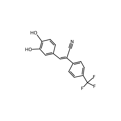 N#C/C(=C\c1ccc(O)c(O)c1)c1ccc(C(F)(F)F)cc1